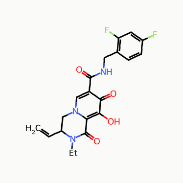 C=CC1Cn2cc(C(=O)NCc3ccc(F)cc3F)c(=O)c(O)c2C(=O)N1CC